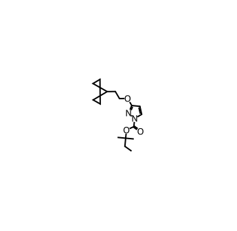 CCC(C)(C)OC(=O)n1ccc(OCCC2C3(CC3)C23CC3)n1